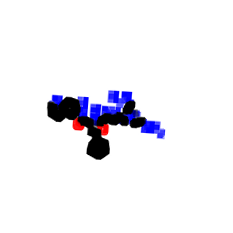 C[N+](CCN)(CCN)CCC[C@H](N)C(=O)N[C@@H](CCc1ccccc1)C(=O)Nc1ccc2ncccc2c1